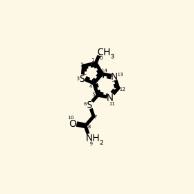 Cc1csc2c(SCC(N)=O)ncnc12